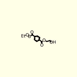 CCOOC(=O)c1ccc(C(=O)OCCO)cc1